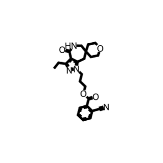 CCc1nn(CCCOC(=O)c2ccccc2C#N)c2c1C(=O)NCC1(CCOCC1)C2